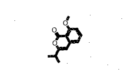 COc1cccc2cc(C(C)C)oc(=O)c12